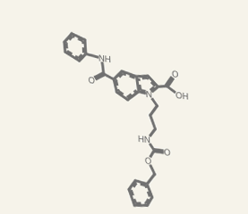 O=C(NCCCn1c(C(=O)O)cc2cc(C(=O)Nc3ccccc3)ccc21)OCc1ccccc1